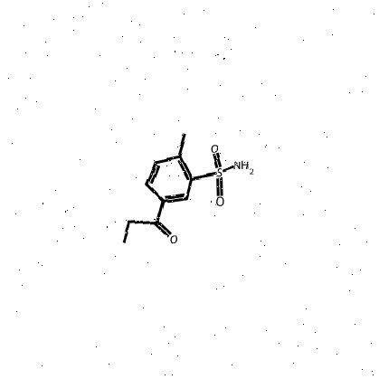 CCC(=O)c1ccc(C)c(S(N)(=O)=O)c1